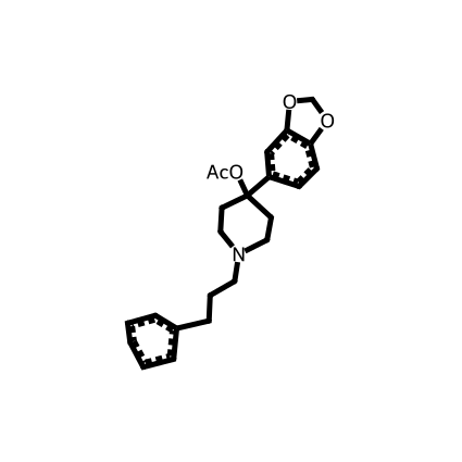 CC(=O)OC1(c2ccc3c(c2)OCO3)CCN(CCCc2ccccc2)CC1